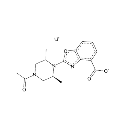 CC(=O)N1C[C@H](C)N(c2nc3c(C(=O)[O-])cccc3o2)[C@@H](C)C1.[Li+]